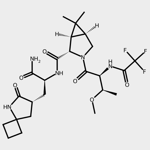 CO[C@H](C)[C@H](NC(=O)C(F)(F)F)C(=O)N1C[C@H]2[C@@H]([C@H]1C(=O)N[C@@H](C[C@@H]1CC3(CCC3)NC1=O)C(N)=O)C2(C)C